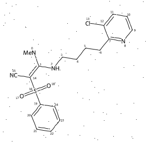 CN/C(NCCCCc1ncccc1Cl)=C(\C#N)S(=O)(=O)c1ccccc1